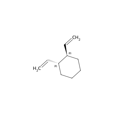 C=C[C@H]1CCCC[C@@H]1C=C